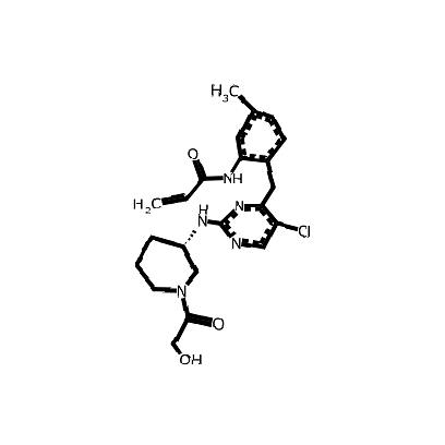 C=CC(=O)Nc1cc(C)ccc1Cc1nc(N[C@H]2CCCN(C(=O)CO)C2)ncc1Cl